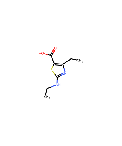 CCNc1nc(CC)c(C(=O)O)s1